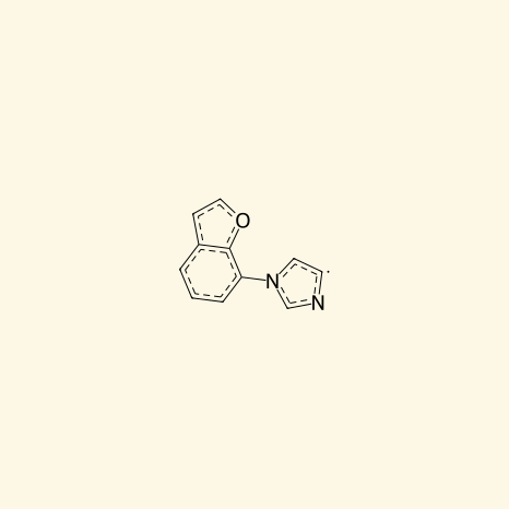 [c]1cn(-c2cccc3ccoc23)cn1